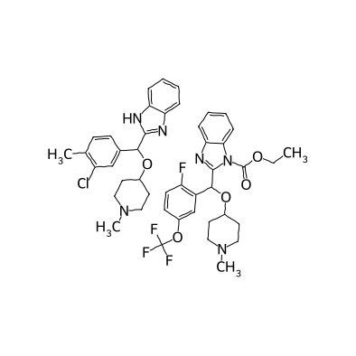 CCOC(=O)n1c(C(OC2CCN(C)CC2)c2cc(OC(F)(F)F)ccc2F)nc2ccccc21.Cc1ccc(C(OC2CCN(C)CC2)c2nc3ccccc3[nH]2)cc1Cl